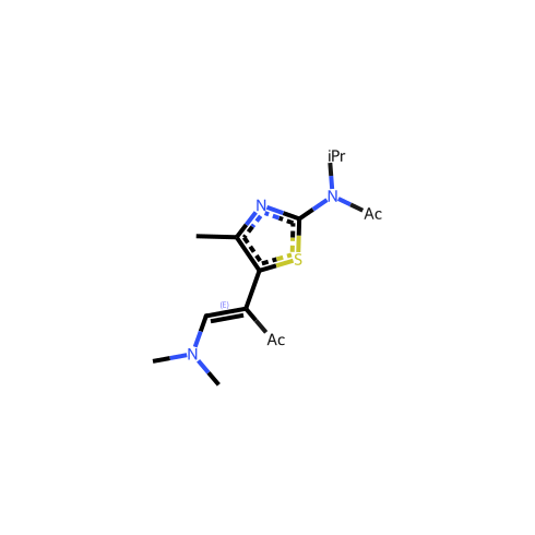 CC(=O)/C(=C\N(C)C)c1sc(N(C(C)=O)C(C)C)nc1C